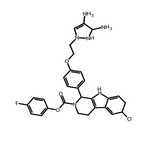 NC1=CN(CCOc2ccc(C3c4[nH]c5c(c4CCN3C(=O)Oc3ccc(F)cc3)=CC(Cl)CC=5)cc2)NC1N